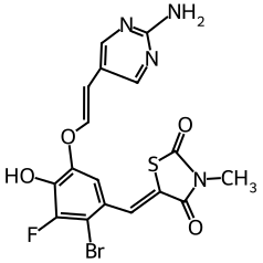 CN1C(=O)S/C(=C\c2cc(O/C=C/c3cnc(N)nc3)c(O)c(F)c2Br)C1=O